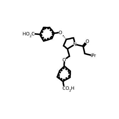 CC(C)CC(=O)N1C[C@@H](Oc2ccc(C(=O)O)cc2)CC1COc1ccc(C(=O)O)cc1